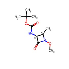 CON1C(=O)[C@@H](NC(=O)OC(C)(C)C)[C@H]1C